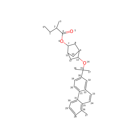 CCC(C)C(=O)OC1CC2CC1CC2OC(C)(C)c1ccc2c(ccc3c(C)cccc32)c1